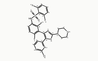 O=S(=O)(Nc1ccc(F)c(-c2nc(N3CCOCC3)sc2-c2ccnc(Cl)n2)c1F)c1c(F)cccc1F